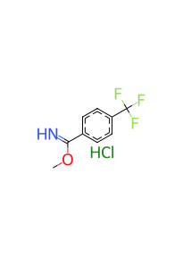 COC(=N)c1ccc(C(F)(F)F)cc1.Cl